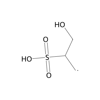 [CH2]C(CO)S(=O)(=O)O